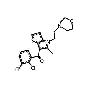 Cc1c(C(=O)c2cccc(Cl)c2Cl)c2sccc2n1CCN1CCOCC1